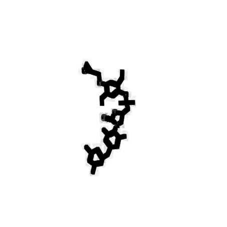 CCc1cc(OC(C)(C)CC2CN(c3c(C)cc(Cc4cc(C)cc(C)c4)cc3C)C(=O)O2)c(CC)cc1OCC1CO1